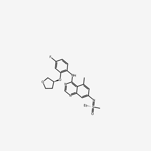 CC[S@](C)(=O)=Nc1cc(C)c2c(Nc3ccc(F)cc3O[C@H]3CCOC3)ncnc2c1